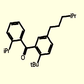 CC(C)CCCc1ccc(C(C)(C)C)c(C(=O)c2ccccc2C(C)C)c1